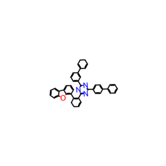 C1=CC(c2cccc(-c3nc(C4=C(c5cccc6c5oc5ccccc56)CCC=C4)nc(-c4ccc(-c5ccccc5)cc4)n3)c2)=CCC1